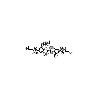 CN(C)CCN(C)S(=O)(=O)c1cc(Br)c(OC(=O)C(=O)Oc2c(Br)cc(S(=O)(=O)N(C)CCN(C)C)cc2Br)c(Br)c1.Cl.Cl